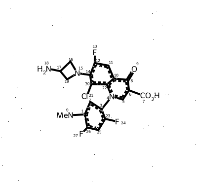 CNc1cc(-n2cc(C(=O)O)c(=O)c3cc(F)c(N4CC(N)C4)c(Cl)c32)c(F)cc1F